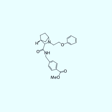 COC(=O)c1ccc(CNC(=O)C2[C@@H]3CCC(C3)N2CCOc2ccccc2)cc1